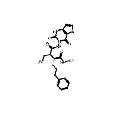 CC(C)CC(C(=O)Nn1c(=O)[nH]c2ccsc2c1=O)[C@@H](CCCc1ccccc1)C(=O)NO